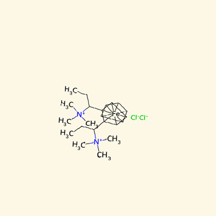 CCC([C]12[CH]3[CH]4[CH]5[C]1(C(CC)[N+](C)(C)C)[Fe]43521678[CH]2[CH]1[CH]6[CH]7[CH]28)[N+](C)(C)C.[Cl-].[Cl-]